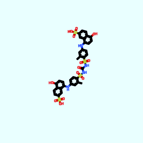 Cc1cc(Nc2ccc(O)c3ccc(S(=O)(=O)O)cc23)ccc1S(=O)(=O)NC(=O)NS(=O)(=O)c1ccc(Nc2ccc(O)c3ccc(S(=O)(=O)O)cc23)cc1C